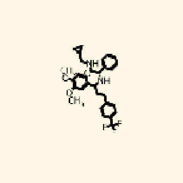 COc1ccc(C(CCc2ccc(C(F)(F)F)cc2)N[C@@H](C(=O)NCC2CC2)c2ccccc2)cc1OC